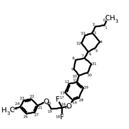 CCCC1CCC(C2CCC(c3ccc(OC(F)(F)COc4ccc(C)cc4)cc3)CC2)CC1